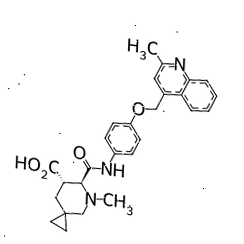 Cc1cc(COc2ccc(NC(=O)[C@@H]3[C@@H](C(=O)O)CC4(CC4)CN3C)cc2)c2ccccc2n1